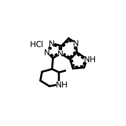 CC1NCCCC1c1nnc2cnc3[nH]ccc3n12.Cl